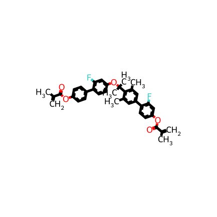 C=C(C)C(=O)Oc1ccc(-c2ccc(OC(C)(C)c3c(C)cc(-c4ccc(OC(=O)C(=C)C)cc4F)cc3C)cc2F)cc1